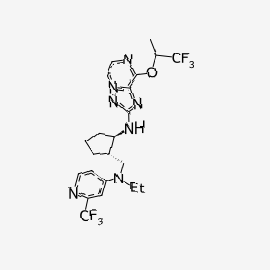 CCN(C[C@@H]1CCC[C@H]1Nc1nc2c(OC(C)C(F)(F)F)nccn2n1)c1ccnc(C(F)(F)F)c1